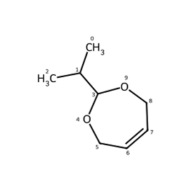 CC(C)C1OCC=CCO1